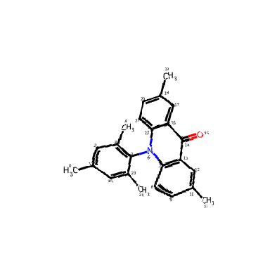 Cc1cc(C)c(-n2c3ccc(C)cc3c(=O)c3cc(C)ccc32)c(C)c1